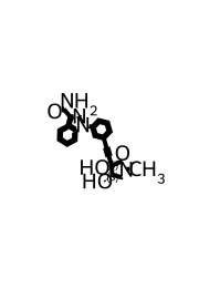 CN1C[C@H](O)[C@@](O)(C#Cc2cccc(-n3nc(C(N)=O)c4ccccc43)c2)C1=O